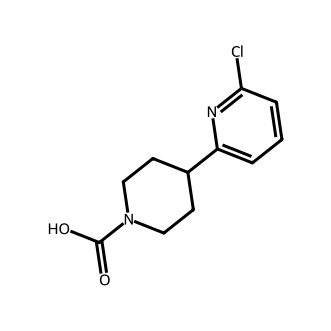 O=C(O)N1CCC(c2cccc(Cl)n2)CC1